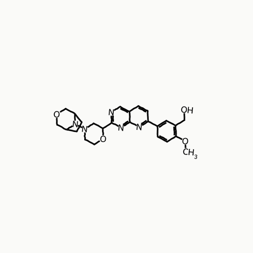 COc1ccc(-c2ccc3cnc(C4CN(N5C6CCC5COC6)CCO4)nc3n2)cc1CO